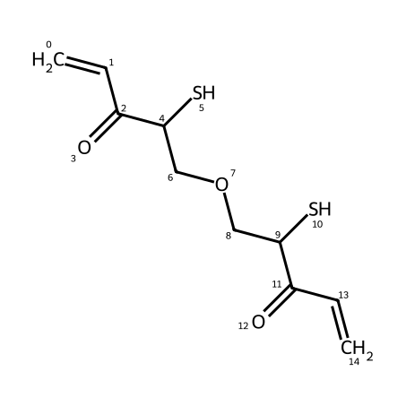 C=CC(=O)C(S)COCC(S)C(=O)C=C